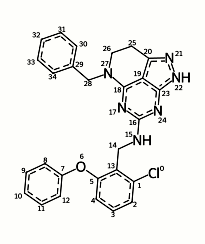 Clc1cccc(Oc2ccccc2)c1CNc1nc2c3c(n[nH]c3n1)CCN2Cc1ccccc1